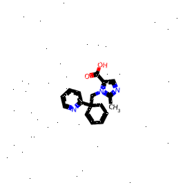 Cc1ncc(C(=O)O)n1CC1(c2ccccn2)C=CC=CC1